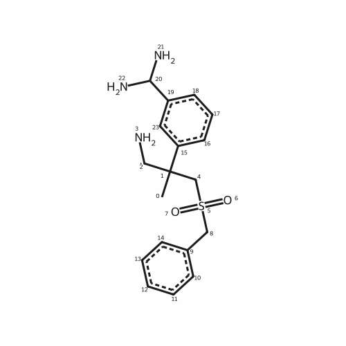 CC([CH]N)(CS(=O)(=O)Cc1ccccc1)c1cccc(C(N)N)c1